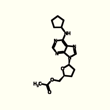 CC(=O)OC[C@@H]1CC[C@H](n2cnc3c(NC4CCCC4)ncnc32)O1